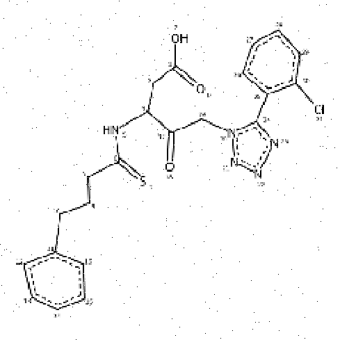 O=C(O)CC(NC(=S)CCCc1ccccc1)C(=O)Cn1nnnc1-c1ccccc1Cl